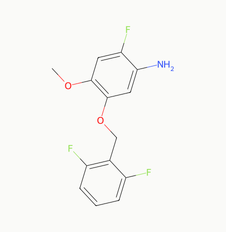 COc1cc(F)c(N)cc1OCc1c(F)cccc1F